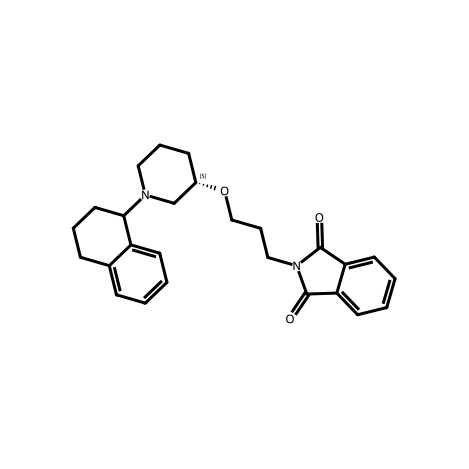 O=C1c2ccccc2C(=O)N1CCCO[C@H]1CCCN(C2CCCc3ccccc32)C1